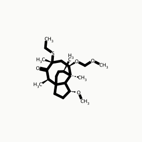 CCS[C@]1(C)C[C@@H](OCOC)[C@@]2(C)C3[C@H](OC)CCC3(CC[C@H]2C)[C@@H](C)C1=O